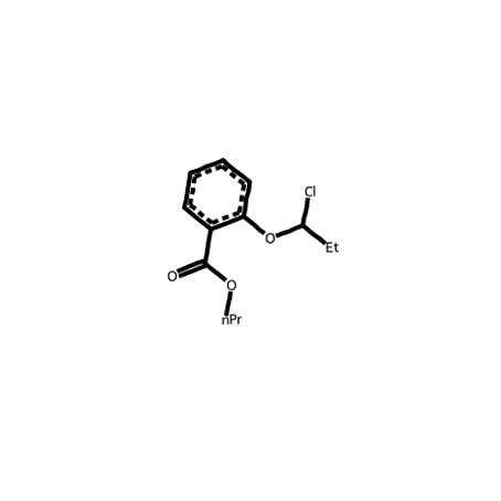 CCCOC(=O)c1ccccc1OC(Cl)CC